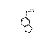 N#CSc1ccc2c(c1)CCC2